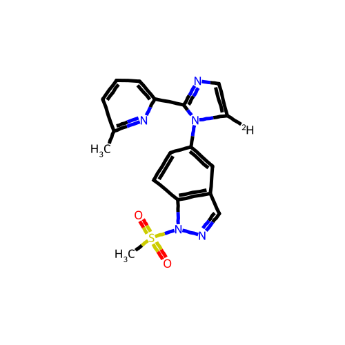 [2H]c1cnc(-c2cccc(C)n2)n1-c1ccc2c(cnn2S(C)(=O)=O)c1